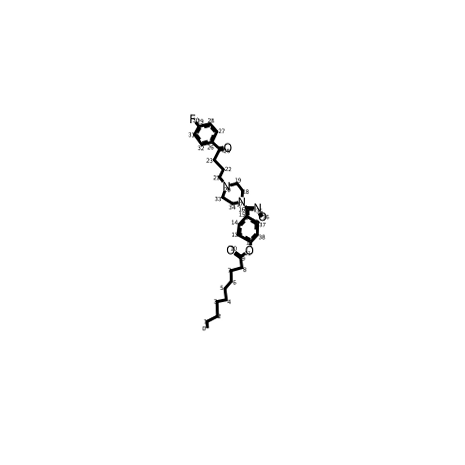 CCCCCCCCCC(=O)Oc1ccc2c(N3CCN(CCCC(=O)c4ccc(F)cc4)CC3)noc2c1